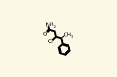 C[C@@H](c1ccccc1)C(Cl)CC(N)=O